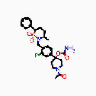 CC(=O)N1CCC(OC(N)=O)(c2ccc(CN3C(C)CCC(c4ccccc4)S3(=O)=O)c(F)c2)CC1